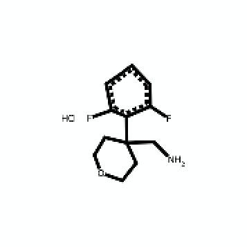 Cl.NCC1(c2c(F)cccc2F)CCOCC1